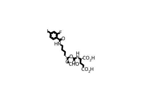 O=CO[C@H](CCCCNC(=O)c1ccc(I)cc1F)OC(=O)N[C@@H](CCC(=O)O)C(=O)O